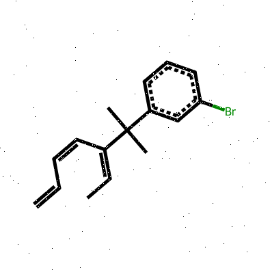 C=C/C=C\C(=C/C)C(C)(C)c1cccc(Br)c1